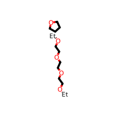 C1CCOC1.CCOCCOCCOCCOCC